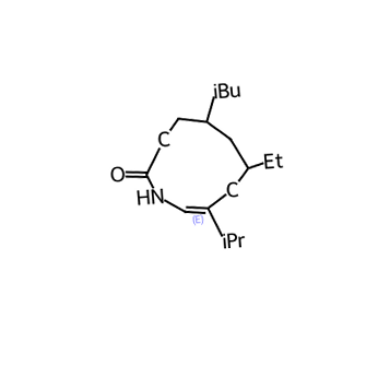 CCC1C/C(C(C)C)=C\NC(=O)CCC(C(C)CC)C1